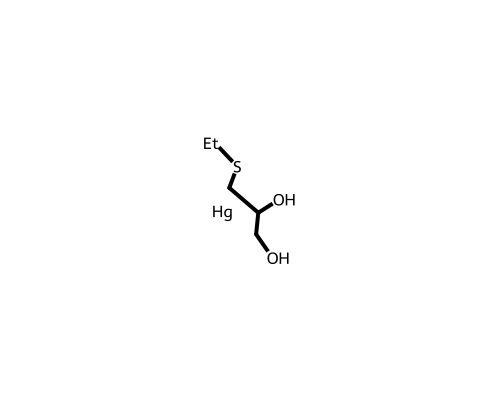 [CH2]CSCC(O)CO.[Hg]